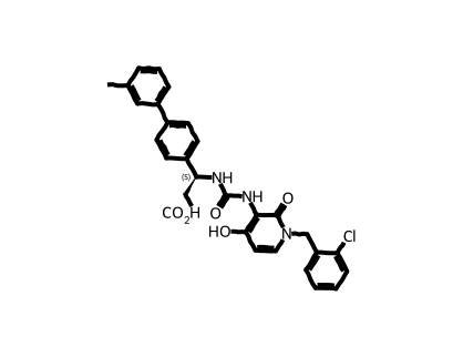 Cc1cccc(-c2ccc([C@H](CC(=O)O)NC(=O)Nc3c(O)ccn(Cc4ccccc4Cl)c3=O)cc2)c1